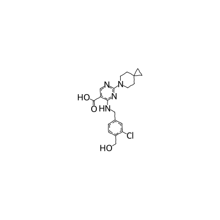 O=C(O)c1cnc(N2CCC3(CC2)CC3)nc1NCc1ccc(CO)c(Cl)c1